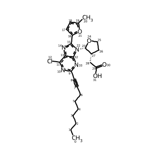 CCCCCCCC#Cc1nc(Cl)c2nc(-c3ccc(C)o3)n([C@@H]3OCC[C@@H]3CC(=O)O)c2n1